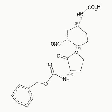 O=CC1C[C@H](NC(=O)O)CC[C@@H]1N1CC[C@H](NC(=O)OCc2ccccc2)C1=O